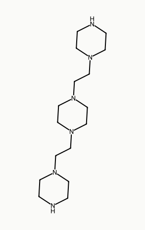 C1CN(CCN2CCN(CCN3CCNCC3)CC2)CCN1